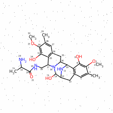 COc1c(C)cc2c(c1O)C1NC(C2)C(O)N2C(CNC(=O)C(C)N)c3c(cc(C)c(OC)c3O)CC12